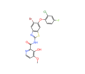 COc1ccnc(C(=O)Nc2nc3cc(Br)c(Oc4ccc(F)cc4Cl)cc3s2)c1O